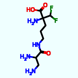 NCC(N)C(=O)NCCCC(N)(C(=O)O)C(F)F